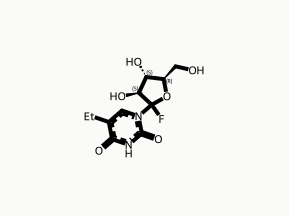 CCc1cn(C2(F)O[C@H](CO)[C@@H](O)[C@@H]2O)c(=O)[nH]c1=O